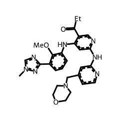 CCC(=O)c1cnc(Nc2cc(CN3CCOCC3)ccn2)cc1Nc1cccc(-c2ncn(C)n2)c1OC